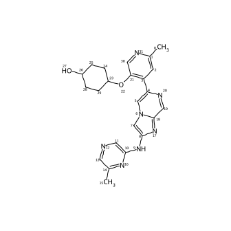 Cc1cc(-c2cn3cc(Nc4cncc(C)n4)nc3cn2)c(OC2CCC(O)CC2)cn1